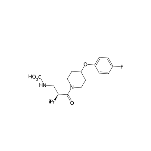 CC(C)[C@@H](CNC(=O)O)C(=O)N1CCC(Oc2ccc(F)cc2)CC1